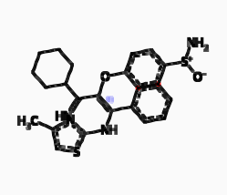 Cc1csc(N/C(=C(/Oc2ccc([S+](N)[O-])cc2)C(=N)C2CCCCC2)c2ccccc2)n1